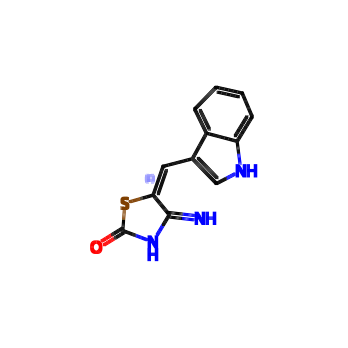 N=C1NC(=O)S/C1=C/c1c[nH]c2ccccc12